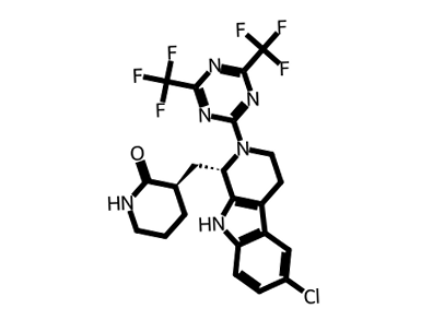 O=C1NCCC[C@@H]1C[C@H]1c2[nH]c3ccc(Cl)cc3c2CCN1c1nc(C(F)(F)F)nc(C(F)(F)F)n1